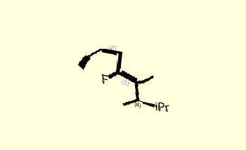 C#C/C=C\C(F)=C(/C)[C@H](C)C(C)C